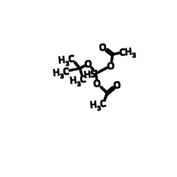 CC(=O)O[SiH](OC(C)=O)OC(C)(C)C